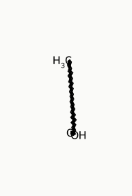 CC=CCCCCCCCCCCCCCCCCCCCCCCCCCC(=O)O